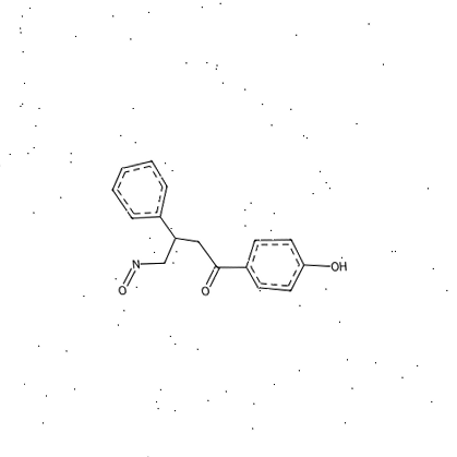 O=NCC(CC(=O)c1ccc(O)cc1)c1ccccc1